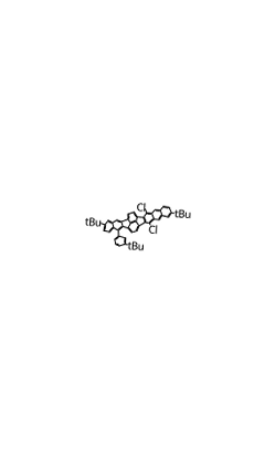 CC(C)(C)c1cccc(-c2c3c(cc4cc(C(C)(C)C)ccc24)-c2ccc4c5c(ccc-3c25)-c2c-4c(Cl)c3cc4ccc(C(C)(C)C)cc4cc3c2Cl)c1